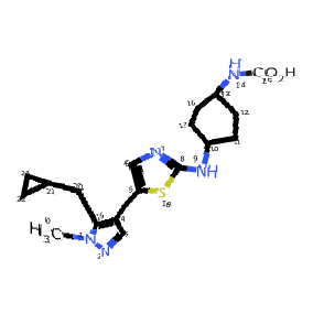 Cn1ncc(-c2cnc(NC3CCC(NC(=O)O)CC3)s2)c1CC1CC1